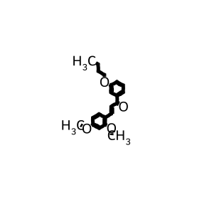 CCCCOc1cccc(C(=O)C=Cc2ccc(OC)cc2OC)c1